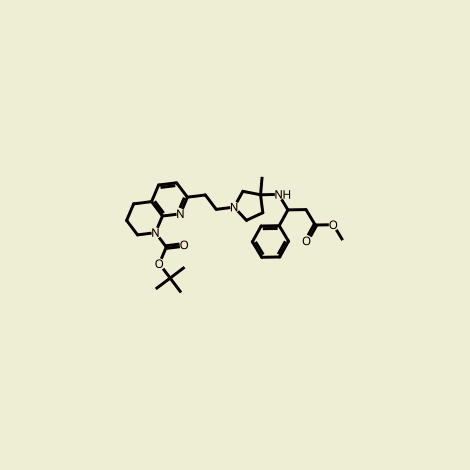 COC(=O)CC(NC1(C)CCN(CCc2ccc3c(n2)N(C(=O)OC(C)(C)C)CCC3)C1)c1ccccc1